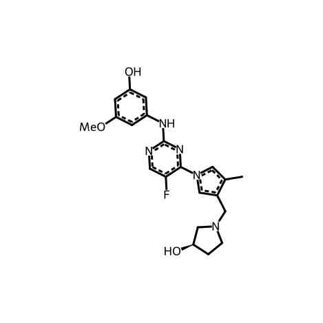 COc1cc(O)cc(Nc2ncc(F)c(-n3cc(C)c(CN4CC[C@@H](O)C4)c3)n2)c1